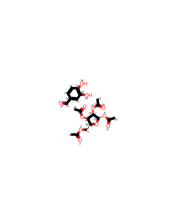 CC(=O)OC[C@H]1O[C@@H](OC(C)=O)[C@H](OC(C)=O)[C@@H]1OC(C)=O.O=Cc1ccc(O)c(O)c1